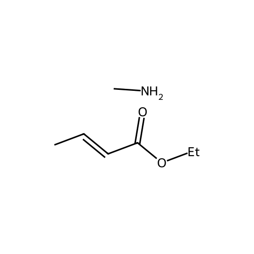 CC=CC(=O)OCC.CN